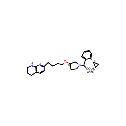 CO[C@H]1C[C@H]1c1ccccc1C(C(=O)O)N1CC[C@@H](OCCCCc2ccc3c(n2)NCCC3)C1